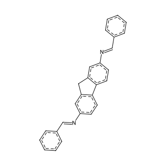 C(=Nc1ccc2c(c1)Cc1cc(N=Cc3ccccc3)ccc1-2)c1ccccc1